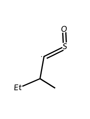 CCC(C)[C]=S=O